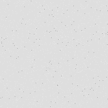 FC(F)(F)OCCCN1CC=CN1